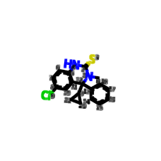 CN1C(=S)Nc2ccc(Cl)cc2C1(c1ccccc1)C1CC1